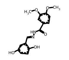 COc1ccc(C(=O)NN=Cc2cc(O)ccc2O)cc1OC